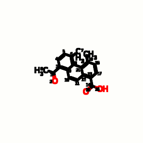 CC(=O)c1ccc(C)c2c1ccc1c(C(=O)O)ccc(C)c12